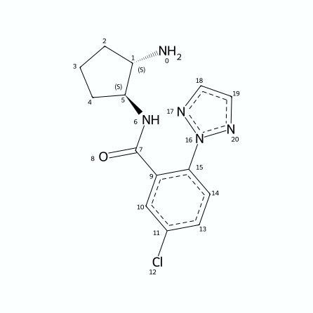 N[C@H]1CCC[C@@H]1NC(=O)c1cc(Cl)ccc1-n1nccn1